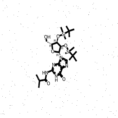 CC(C)C(=O)Nc1nc2c(ncn2[C@@H]2O[C@H](CO)[C@@H](O[Si](C)(C)C(C)(C)C)[C@H]2O[Si](C)(C)C(C)(C)C)c(=O)[nH]1